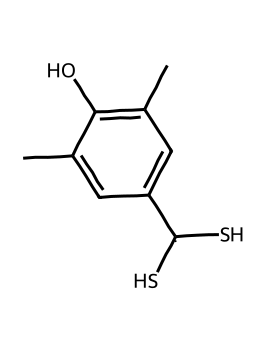 Cc1cc([C](S)S)cc(C)c1O